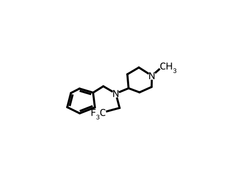 CN1CCC(N(Cc2ccccc2)CC(F)(F)F)CC1